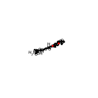 COc1ccc(NC(=O)COCCOCCNC(=O)CCOC2CCC3C4CCc5cc(OP(=O)(OC(C)C)OC(C)C)ccc5C4CCC23C)c(O)c1C(N)=O